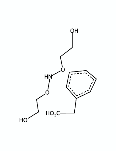 O=C(O)Cc1ccccc1.OCCONOCCO